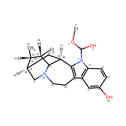 CCOC(O)n1c2c(c3cc(O)ccc31)CCN1C[C@@H]3C[C@@H]2C1[C@@H](CC)[C@H]3C